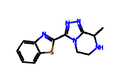 CC1NCCn2c(-c3nc4ccccc4s3)nnc21